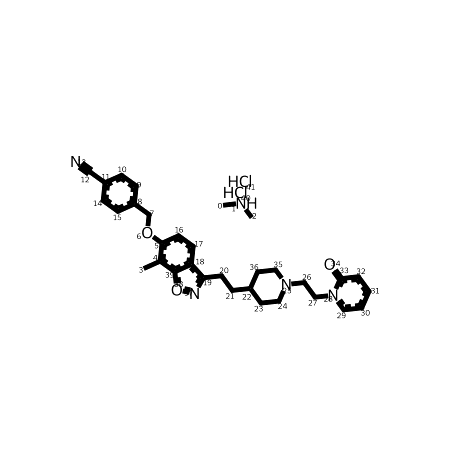 CNC.Cc1c(OCc2ccc(C#N)cc2)ccc2c(CCC3CCN(CCn4ccccc4=O)CC3)noc12.Cl.Cl